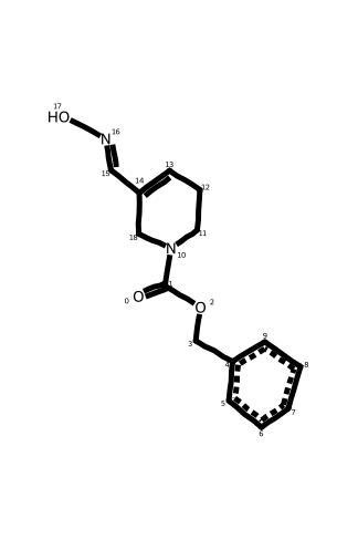 O=C(OCc1ccccc1)N1CCC=C(/C=N/O)C1